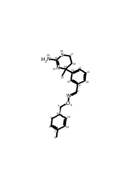 CC1=CC[C@@H](CO/N=C/c2cccc(C3(C)CCSC(N)=N3)c2)C=C1